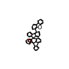 c1ccc(C23c4ccccc4-c4cccc(c42)C2(c4ccccc4-c4c(-c5cccc6c5oc5ccccc56)cccc42)c2ccccc23)cc1